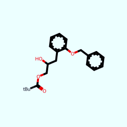 CC(C)(C)C(=O)OCC(O)Cc1ccccc1OCc1ccccc1